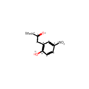 CNC(=O)Cc1cc([N+](=O)[O-])ccc1O